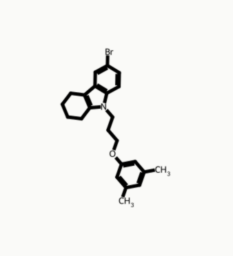 Cc1cc(C)cc(OCCCn2c3c(c4cc(Br)ccc42)CCCC3)c1